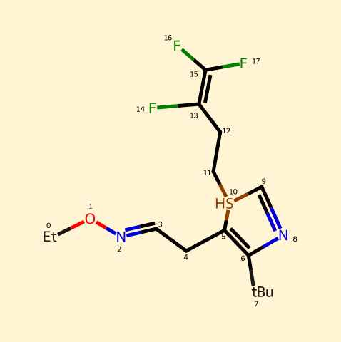 CCO/N=C/CC1=C(C(C)(C)C)N=C[SH]1CCC(F)=C(F)F